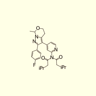 CC(C)CC(=O)N(C(=O)CC(C)C)c1cc(-c2c(-c3ccc(F)cc3)nn3c2CCOC3C)ccn1